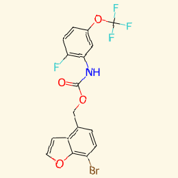 O=C(Nc1cc(OC(F)(F)F)ccc1F)OCc1ccc(Br)c2occc12